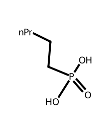 C[CH]CCCP(=O)(O)O